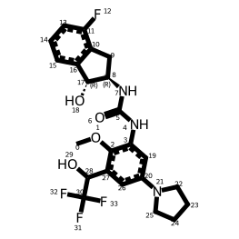 COc1c(NC(=O)N[C@@H]2Cc3c(F)cccc3[C@H]2O)cc(N2CCCC2)cc1C(O)C(F)(F)F